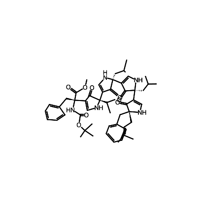 COC(=O)[C@@](Cc1ccccc1)(NC(=O)OC(C)(C)C)C1=CN[C@](C2=CN[C@@](CC(C)C)(C3=CN[C@@](CC(C)C)(C4=CN[C@](CC=C(C)C)(Cc5ccccc5)C4=O)C3=O)C2=O)(C(C)C)C1=O